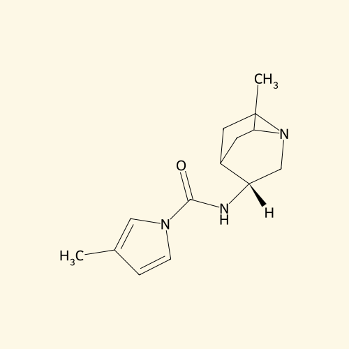 Cc1ccn(C(=O)N[C@H]2CN3CCC2CC3C)c1